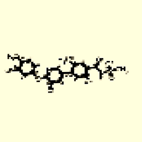 Cc1cc(C(=O)NS(C)(=O)=O)c(F)cc1-c1cnc(Oc2ccc(C(F)(F)F)c(F)c2)c(Cl)c1